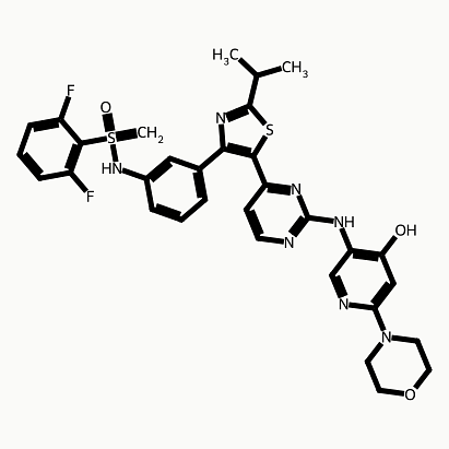 C=S(=O)(Nc1cccc(-c2nc(C(C)C)sc2-c2ccnc(Nc3cnc(N4CCOCC4)cc3O)n2)c1)c1c(F)cccc1F